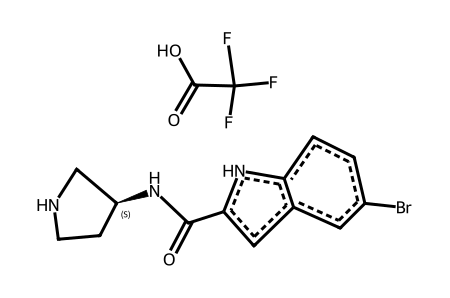 O=C(N[C@H]1CCNC1)c1cc2cc(Br)ccc2[nH]1.O=C(O)C(F)(F)F